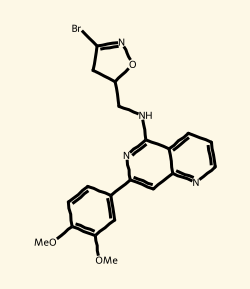 COc1ccc(-c2cc3ncccc3c(NCC3CC(Br)=NO3)n2)cc1OC